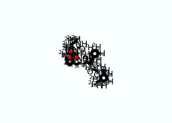 [2H]c1c([2H])c([2H])c(C([2H])([2H])[C@]([2H])(NC(=O)COc2c(C([2H])([2H])[2H])c([2H])c([2H])c([2H])c2C([2H])([2H])[2H])[C@@H](O)C[C@H](Cc2ccccc2)NC(=O)[C@@]([2H])(N2C(=O)NC([2H])([2H])C([2H])([2H])C2([2H])[2H])C([2H])(C([2H])([2H])[2H])C([2H])([2H])[2H])c([2H])c1[2H]